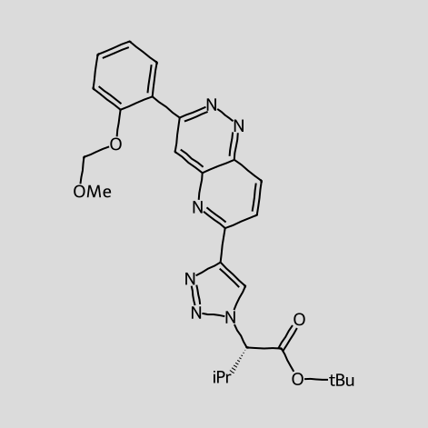 COCOc1ccccc1-c1cc2nc(-c3cn([C@H](C(=O)OC(C)(C)C)C(C)C)nn3)ccc2nn1